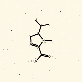 CC(C)C1CC=C(C(N)=O)N1C